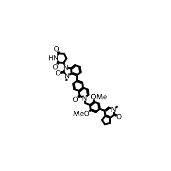 COc1cc(-c2cn(C)c(=O)c3c2CCC3)cc(OC)c1Cn1ccc2cc(-c3cccc4c3n(C)c(=O)n4C3CCC(=O)NC3=O)ccc2c1=O